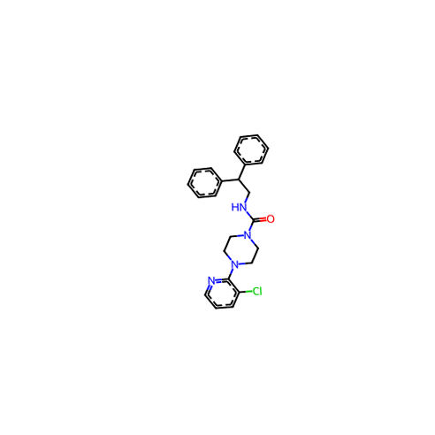 O=C(NCC(c1ccccc1)c1ccccc1)N1CCN(c2ncccc2Cl)CC1